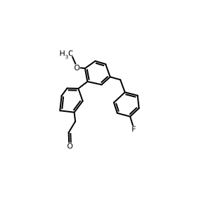 COc1ccc(Cc2ccc(F)cc2)cc1-c1cccc(CC=O)c1